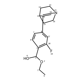 CCOC(O)c1ccc(C2=CN3CCC2CC3)cc1F